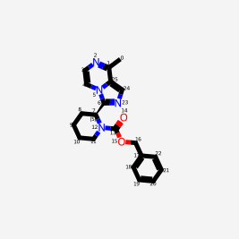 Cc1nccn2c([C@@H]3CCCCN3C(=O)OCc3ccccc3)ncc12